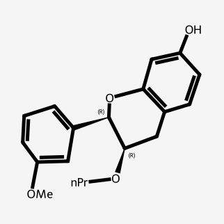 CCCO[C@@H]1Cc2ccc(O)cc2O[C@@H]1c1cccc(OC)c1